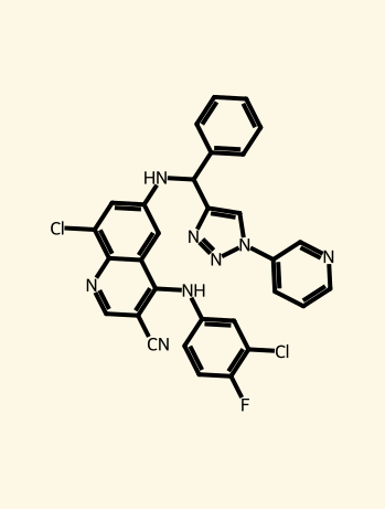 N#Cc1cnc2c(Cl)cc(NC(c3ccccc3)c3cn(-c4cccnc4)nn3)cc2c1Nc1ccc(F)c(Cl)c1